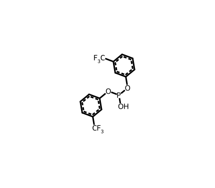 OP(Oc1cccc(C(F)(F)F)c1)Oc1cccc(C(F)(F)F)c1